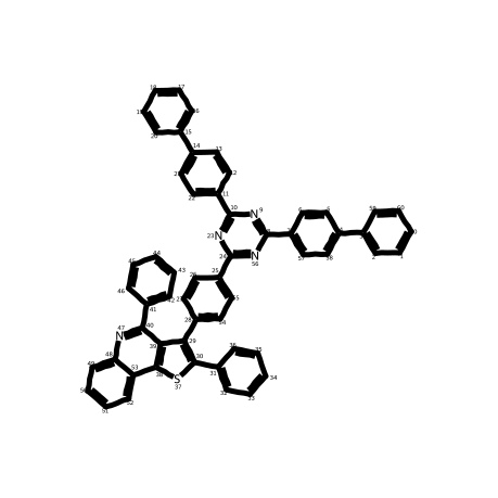 c1ccc(-c2ccc(-c3nc(-c4ccc(-c5ccccc5)cc4)nc(-c4ccc(-c5c(-c6ccccc6)sc6c5c(-c5ccccc5)nc5ccccc56)cc4)n3)cc2)cc1